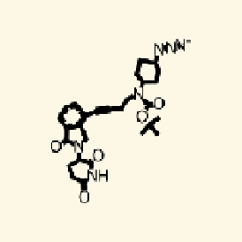 CC(C)(C)OC(=O)N(CCC#Cc1cccc2c1CN(C1CCC(=O)NC1=O)C2=O)C1CCC(N=[N+]=[N-])CC1